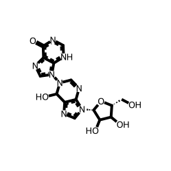 O=c1nc[nH]c2c1ncn2N1C=Nc2c(ncn2[C@@H]2O[C@H](CO)C(O)C2O)C1O